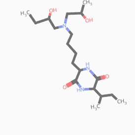 CCC(O)CN(CCCCC1NC(=O)C(C(C)CC)NC1=O)CC(C)O